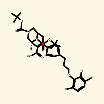 CC(C)(C)OC(=O)N1CC2CC(c3ccc(CCCOc4c(F)ccc(F)c4Cl)cc3)=C(C(=O)O)[C@@H](C1)N2C(=O)OC(C)(C)C